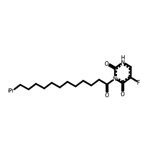 CC(C)CCCCCCCCCCCC(=O)n1c(=O)[nH]cc(F)c1=O